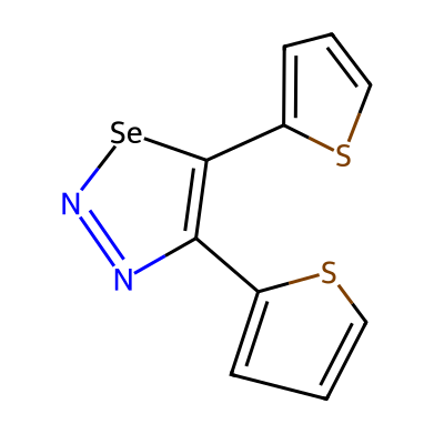 c1csc(-c2nn[se]c2-c2cccs2)c1